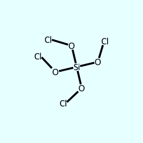 ClO[Si](OCl)(OCl)OCl